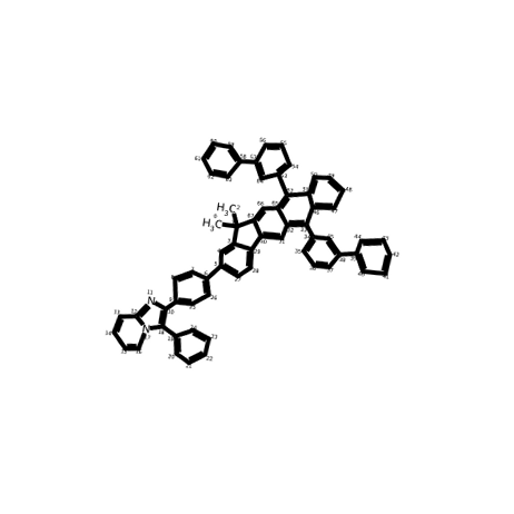 CC1(C)c2cc(-c3ccc(-c4nc5ccccn5c4-c4ccccc4)cc3)ccc2-c2cc3c(-c4cccc(-c5ccccc5)c4)c4ccccc4c(-c4cccc(-c5ccccc5)c4)c3cc21